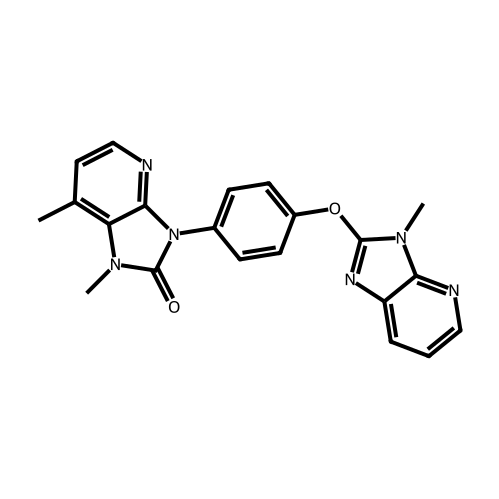 Cc1ccnc2c1n(C)c(=O)n2-c1ccc(Oc2nc3cccnc3n2C)cc1